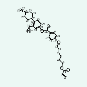 C=CC(=O)OCCCCCCOc1ccc(C(=O)Oc2ccc(C3CCC(CCC)CC3)c(C=N)c2)cc1